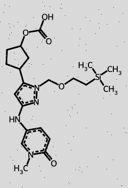 Cn1cc(Nc2cc(C3CCC(OC(=O)O)C3)n(COCC[Si](C)(C)C)n2)ccc1=O